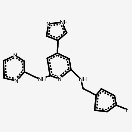 Fc1ccc(CNc2cc(-c3cn[nH]c3)cc(Nc3cnccn3)n2)cc1